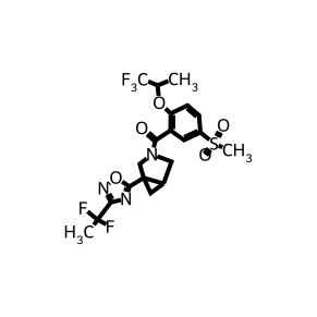 CC(Oc1ccc(S(C)(=O)=O)cc1C(=O)N1CC2CC2(c2nc(C(C)(F)F)no2)C1)C(F)(F)F